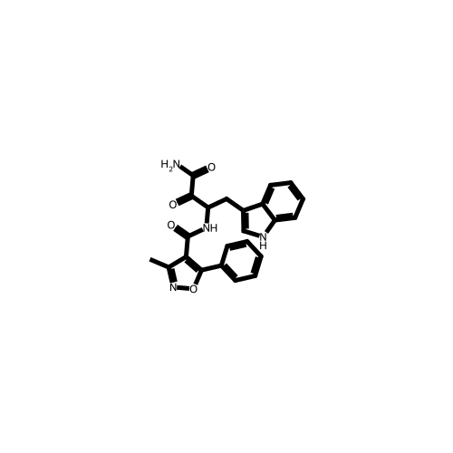 Cc1noc(-c2ccccc2)c1C(=O)NC(Cc1c[nH]c2ccccc12)C(=O)C(N)=O